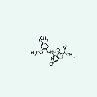 COc1ccc(CNc2nc(Cl)cc3c2C(=O)N([C@@H](C)C2CC2)C3)c(OC)c1